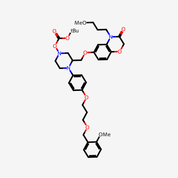 COCCCN1C(=O)COc2ccc(OCC3CN(OC(=O)OC(C)(C)C)CCN3c3ccc(OCCCOCc4ccccc4OC)cc3)cc21